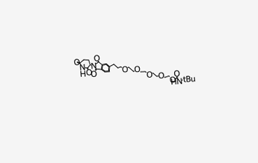 CC(C)(C)NC(=O)OCCOCCOCCOCCOCCCc1ccc2c(c1)C(=O)N(C1CCC(=O)NC1=O)C2=O